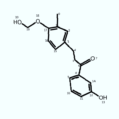 Cc1cc(CCC(=O)c2cccc(O)c2)ccc1OCO